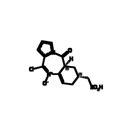 O=C1[C@H]2C[C@H](CS(=O)(=O)O)CC=C2[N+]([O-])=C(Cl)c2cccn21